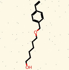 C=Cc1ccc(COCCCCCCO)cc1